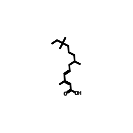 CCC(C)(C)CCCC(C)CC=CC(C)=CC(=O)O